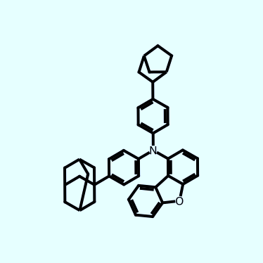 c1ccc2c(c1)oc1cccc(N(c3ccc(C4CC5CCC4C5)cc3)c3ccc(C45CC6CC(CC(C6)C4)C5)cc3)c12